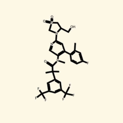 Cc1cc(F)ccc1-c1cc(N2CS(=O)(=O)CC2CO)ncc1N(C)C(=O)C(C)(C)c1cc(C(F)(F)F)cc(C(F)(F)F)c1